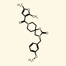 COc1cccc(CN2CC3(CCN(C(=O)c4cc(C)oc4C)CC3)OC2=O)c1